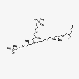 CCCCC(CC)COCC(O)CNCCCCCCN(CC(O)COCCC[Si](O)(O)O)CC(O)COCCC[Si](O)(O)O